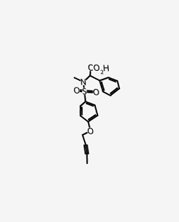 CC#CCOc1ccc(S(=O)(=O)N(C)C(C(=O)O)c2ccccc2)cc1